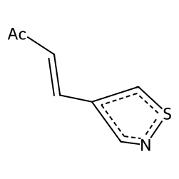 CC(=O)C=Cc1cnsc1